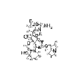 C[C@H]1CN2CCC[C@@]2(COc2nc3c4c(c(Cl)c(-c5ccc(F)c6sc(N)nc56)c(F)c4n2)OCCC2N3CCCCC2(C)O)C1